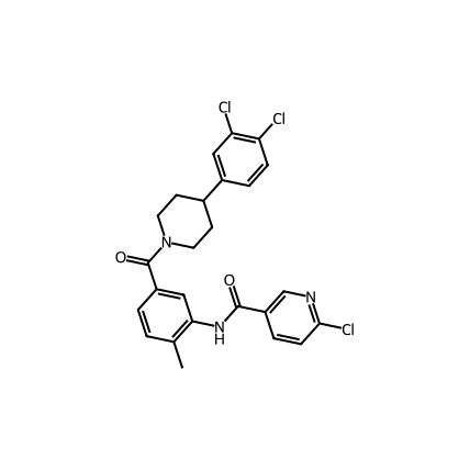 Cc1ccc(C(=O)N2CCC(c3ccc(Cl)c(Cl)c3)CC2)cc1NC(=O)c1ccc(Cl)nc1